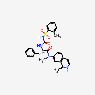 C=C1NC=Cc2ccc(N(C)C(=O)[C@H](Cc3ccccc3)NC(=O)NS(=O)(=O)c3ccccc3C)cc21